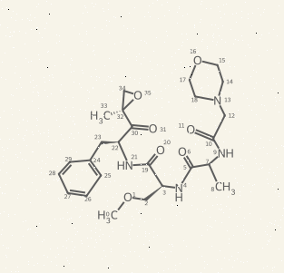 COC[C@H](NC(=O)C(C)NC(=O)CN1CCOCC1)C(=O)N[C@@H](Cc1ccccc1)C(=O)[C@@]1(C)CO1